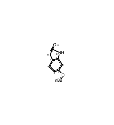 CCCCOc1ccc2c(c1)NC(=O)C2